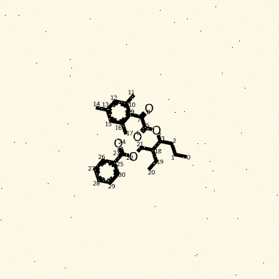 CCCC(OC(=O)C(=O)c1c(C)cc(C)cc1C)C(CC)COC(=O)c1ccccc1